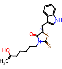 C=C(O)CCCCCN1C(=O)/C(=C/c2c[nH]c3ccccc23)SC1=S